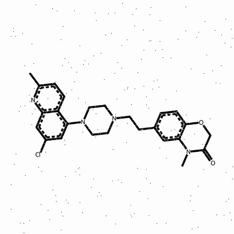 Cc1ccc2c(N3CCN(CCc4ccc5c(c4)N(C)C(=O)CO5)CC3)cc(Cl)cc2n1